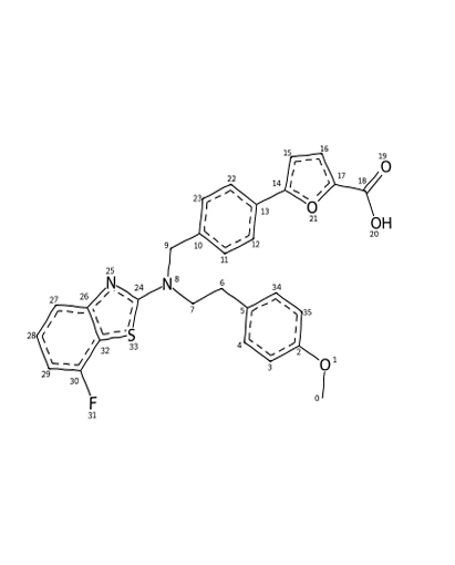 COc1ccc(CCN(Cc2ccc(-c3ccc(C(=O)O)o3)cc2)c2nc3cccc(F)c3s2)cc1